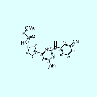 CCCc1cc(N2CC[C@H](NC(=O)COC)C2)nc(Nc2cccc(C#N)c2)n1